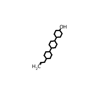 C=CCC1CCC(C2CCC(C3CCC(O)CC3)CC2)CC1